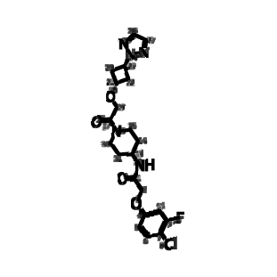 O=C(COc1ccc(Cl)c(F)c1)NC1CCN(C(=O)CO[C@H]2C[C@H](n3nccn3)C2)CC1